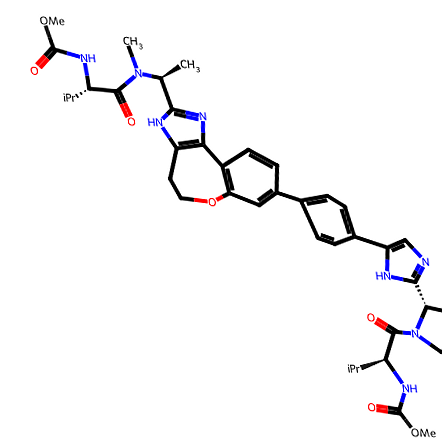 COC(=O)N[C@H](C(=O)N(C)[C@@H](C)c1nc2c([nH]1)CCOc1cc(-c3ccc(-c4cnc([C@@H]5CCCN5C(=O)[C@@H](NC(=O)OC)C(C)C)[nH]4)cc3)ccc1-2)C(C)C